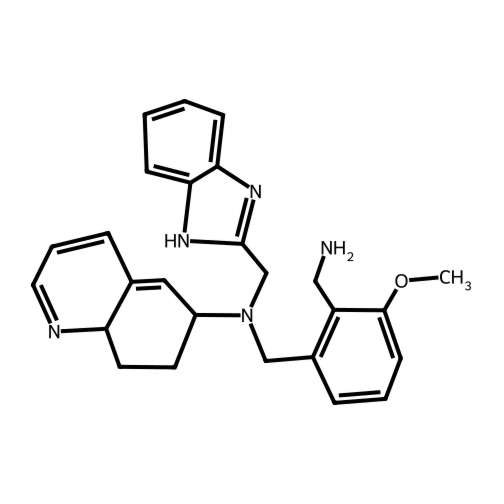 COc1cccc(CN(Cc2nc3ccccc3[nH]2)C2C=C3C=CC=NC3CC2)c1CN